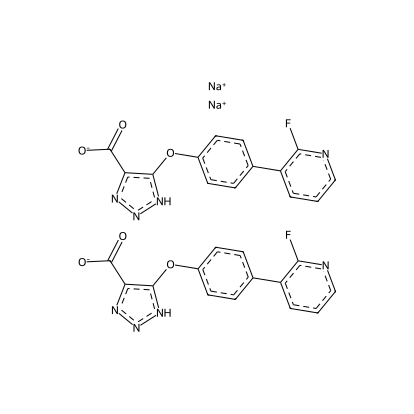 O=C([O-])c1nn[nH]c1Oc1ccc(-c2cccnc2F)cc1.O=C([O-])c1nn[nH]c1Oc1ccc(-c2cccnc2F)cc1.[Na+].[Na+]